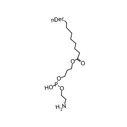 CCCCCCCCCCCCCCCCCC(=O)OCCCOP(O)OCCN